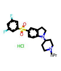 CCCN1CCC(N2CCc3cc(S(=O)(=O)c4cc(F)cc(F)c4)ccc32)CC1.Cl